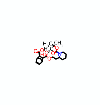 CC(C)(C)OC(=O)N1CCCCC1CCOC(=O)C1C2C=CC(C2)C1C(=O)O